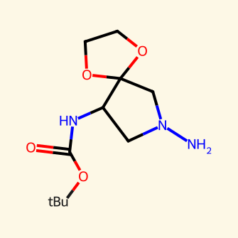 CC(C)(C)OC(=O)NC1CN(N)CC12OCCO2